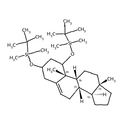 CC(C)(C)[Si](C)(C)OC1CC2=CC[C@@H]3[C@@H](CC[C@]4(C)CCC[C@@H]34)[C@@]2(C)C(O[Si](C)(C)C(C)(C)C)C1